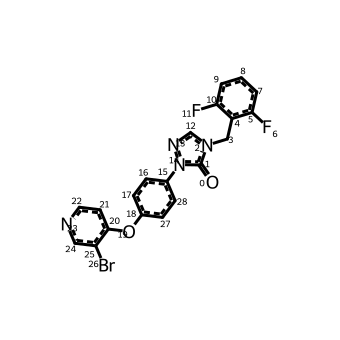 O=c1n(Cc2c(F)cccc2F)cnn1-c1ccc(Oc2ccncc2Br)cc1